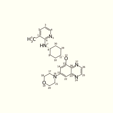 Cc1cccnc1N[C@H]1CC[C@@H](Oc2cc(N3CCOCC3)cc3nccnc23)CC1